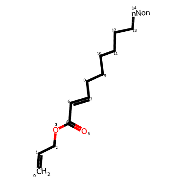 C=CCOC(=O)/C=C/CCCCCCCCCCCCCCC